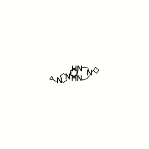 c1cc2c(cc1N1CCN(CC3CC3)CC1)NCCCN(C1CCC1)CCN2